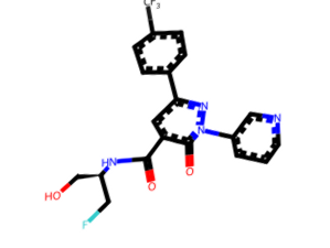 O=C(N[C@H](CO)CF)c1cc(-c2ccc(C(F)(F)F)cc2)nn(-c2cccnc2)c1=O